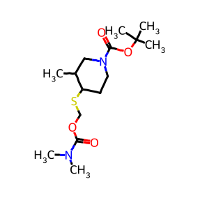 CC1CN(C(=O)OC(C)(C)C)CCC1SCOC(=O)N(C)C